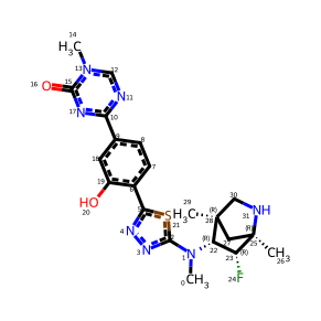 CN(c1nnc(-c2ccc(-c3ncn(C)c(=O)n3)cc2O)s1)[C@H]1[C@@H](F)[C@@]2(C)C[C@]1(C)CN2